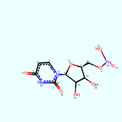 O=c1ccn([C@H]2O[C@@H](CO[PH](=O)O)C(O)C2O)c(=O)[nH]1